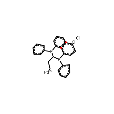 [Cl-].[Cl-].[Pd+2][CH2]CC(P(c1ccccc1)c1ccccc1)P(c1ccccc1)c1ccccc1